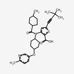 Cc1ccc(OC2CCC(N(C(=O)C3CCC(C)CC3)c3cc(C#CC(C)(C)C)sc3C(=O)O)CC2)cn1